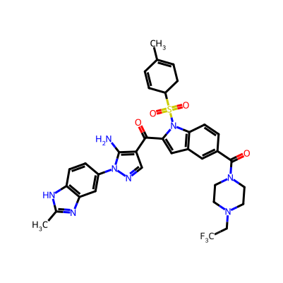 CC1=CCC(S(=O)(=O)n2c(C(=O)c3cnn(-c4ccc5[nH]c(C)nc5c4)c3N)cc3cc(C(=O)N4CCN(CC(F)(F)F)CC4)ccc32)C=C1